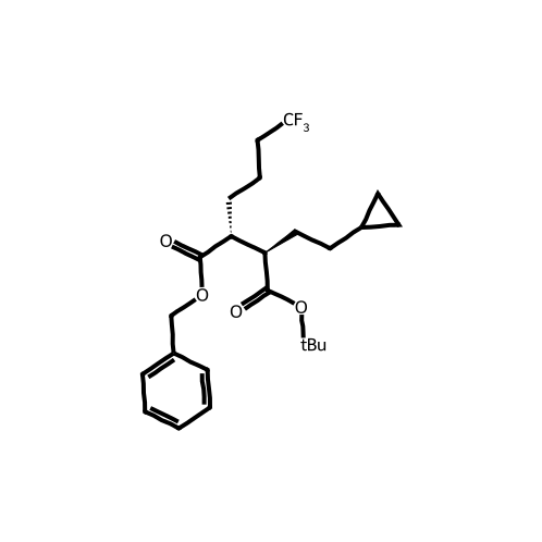 CC(C)(C)OC(=O)[C@H](CCC1CC1)[C@@H](CCCC(F)(F)F)C(=O)OCc1ccccc1